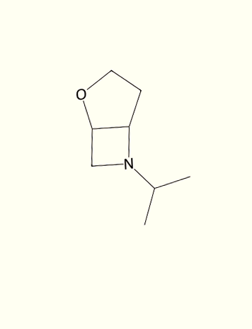 CC(C)N1CC2OCCC21